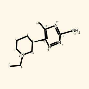 CCN1CCC[C@@H](c2nnc(N)nc2C)C1